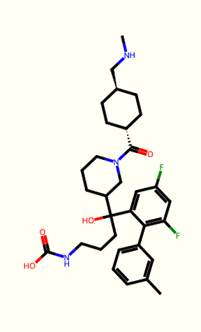 CNC[C@H]1CC[C@H](C(=O)N2CCCC(C(O)(CCCNC(=O)O)c3cc(F)cc(F)c3-c3cccc(C)c3)C2)CC1